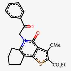 CCOC(=O)c1sc2c3c(n(CC(=O)c4ccccc4)c(=O)c2c1OC)CCCC3